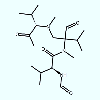 CC(=O)[C@H](C(C)C)N(C)CC(C=O)(C(C)C)N(C)C(=O)[C@@H](NC=O)C(C)C